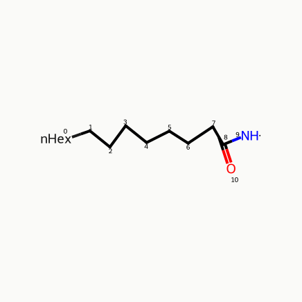 CCCCCCCCCCCCCC([NH])=O